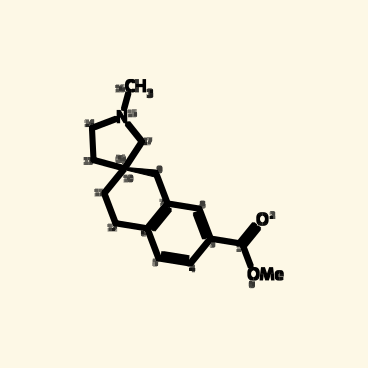 COC(=O)c1ccc2c(c1)C[C@@]1(CC2)CCN(C)C1